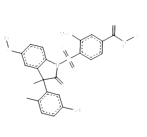 CCOc1ccc2c(c1)C(C)(c1cc(N)ccc1Cl)C(=O)N2S(=O)(=O)c1ccc(C(=O)NC(C)(C)C)cc1OC